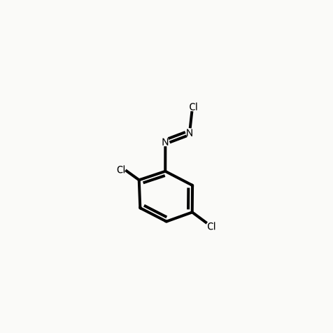 ClN=Nc1cc(Cl)ccc1Cl